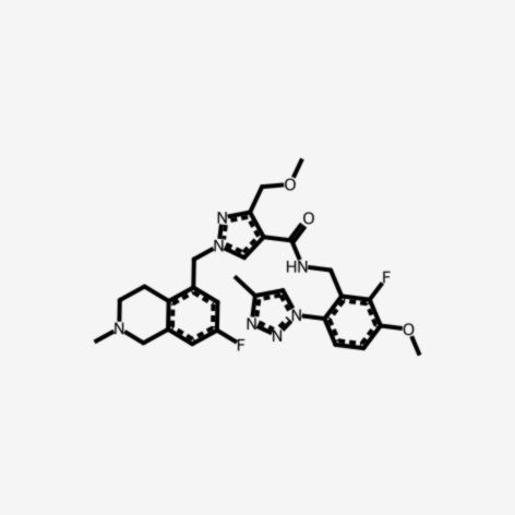 COCc1nn(Cc2cc(F)cc3c2CCN(C)C3)cc1C(=O)NCc1c(-n2cc(C)nn2)ccc(OC)c1F